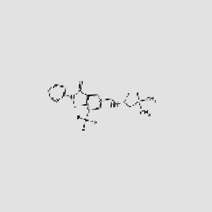 CC1(C)CCC(NCc2cc3c(c(C(F)(F)F)c2)CN(c2ccccc2)C3=O)C1